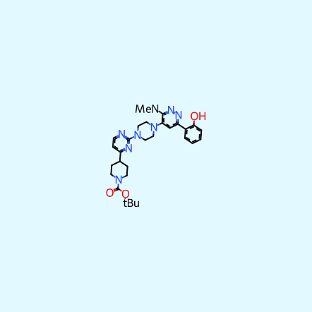 CNc1nnc(-c2ccccc2O)cc1N1CCN(c2nccc(C3CCN(C(=O)OC(C)(C)C)CC3)n2)CC1